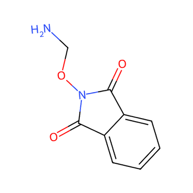 NCON1C(=O)c2ccccc2C1=O